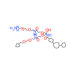 NNCCOCCOCCNC(=O)CCOCC(CO)(COCCC(=O)NCCOCCOCCC1CCCC1)NC(=O)C1CCC(C2CCCCC(C3CCCCC3)CC2)CC1